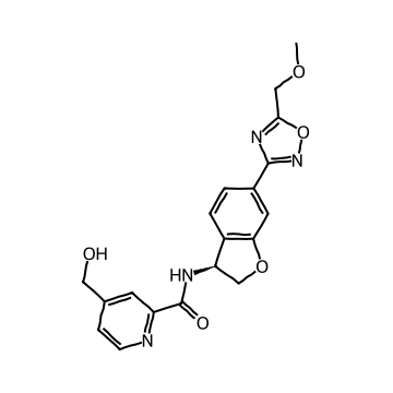 COCc1nc(-c2ccc3c(c2)OC[C@H]3NC(=O)c2cc(CO)ccn2)no1